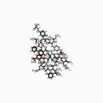 CCC(=O)N[C@@H](CN1CCOCC1)C(=O)N[C@@H](Cc1ccc(OCC(=O)O)cc1)C(=O)N[C@@H](CC(=O)O)C(=O)N[C@@H](C)C(=O)N[C@@H](Cc1ccc(C(=O)O)cc1)C(=O)N[C@@H](Cc1ccc(-c2ccccc2)cc1)C(=O)N[C@@H](CCC(N)=O)C(=O)N(C)[C@@H](C)C(=O)N[C@H](CC(C)C)C(=O)N[C@@H](CCN)C(=O)N[C@@H](Cc1cccc(OC)c1)C(=O)NC(C(=O)NCC(=O)NC(CC)C(=O)NC(CCN)C(N)=O)C(C)C